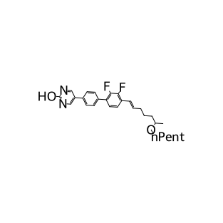 CCCCCOC(C)CCCC=Cc1ccc(-c2ccc(-c3cnc(O)nc3)cc2)c(F)c1F